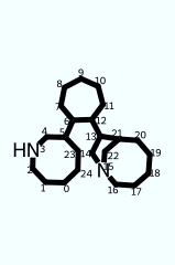 C1CCNCC(C2CCCCCC2C2CN3CCCCCC2C3)CC1